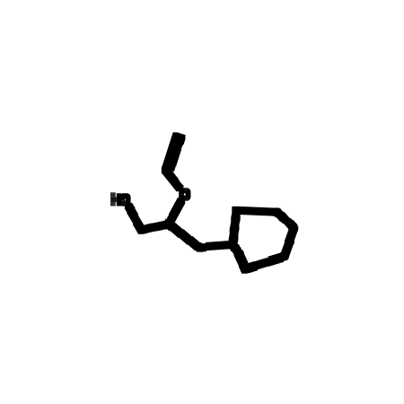 C=COC(CO)CC1CCCCC1